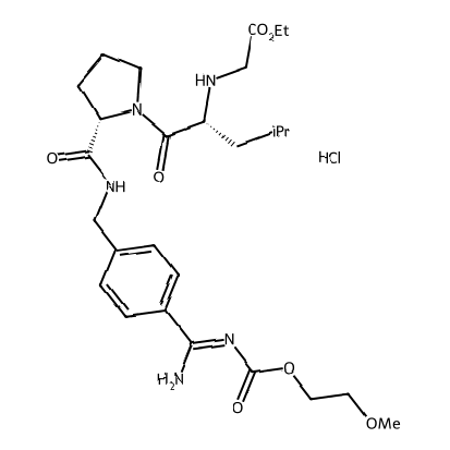 CCOC(=O)CN[C@H](CC(C)C)C(=O)N1CCC[C@H]1C(=O)NCc1ccc(C(N)=NC(=O)OCCOC)cc1.Cl